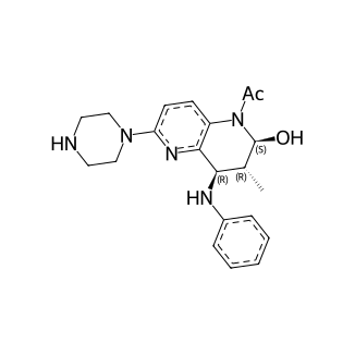 CC(=O)N1c2ccc(N3CCNCC3)nc2[C@H](Nc2ccccc2)[C@@H](C)[C@@H]1O